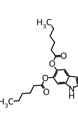 CCCCCC(=O)Oc1cc2cc[nH]c2cc1OC(=O)CCCCC